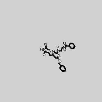 O=C1NC(=O)C(=Cc2cc(OCc3ccccc3)nc(NCCNC(=O)c3ccccc3)n2)S1